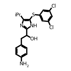 CC(C)c1nc(C(O)Cc2ccc(N)cc2)[nH]c1Sc1cc(Cl)cc(Cl)c1